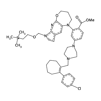 COC(=O)c1ccc(N2CCN(CC3=C(c4ccc(Cl)cc4)CCCCC3)CC2)cc1N1CCCOc2nc3c(ccn3COCC[Si](C)(C)C)cc21